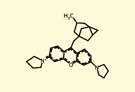 CC1CC2(Cc3c4ccc(=[N+]5CCCC5)cc-4oc4cc(N5CCCC5)ccc34)CC3CC3(C1)C2